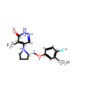 O=C(O)c1cc(OC[C@@H]2CCCN2c2cn[nH]c(=O)c2C(F)(F)F)ccc1F